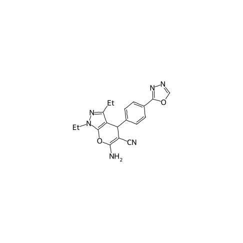 CCc1nn(CC)c2c1C(c1ccc(-c3nnco3)cc1)C(C#N)=C(N)O2